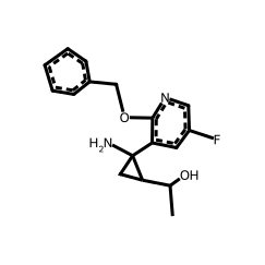 CC(O)C1CC1(N)c1cc(F)cnc1OCc1ccccc1